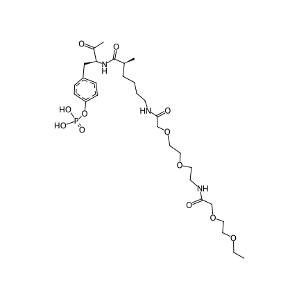 CCOCCOCC(=O)NCCOCCOCC(=O)NCCCC[C@H](C)C(=O)N[C@@H](Cc1ccc(OP(=O)(O)O)cc1)C(C)=O